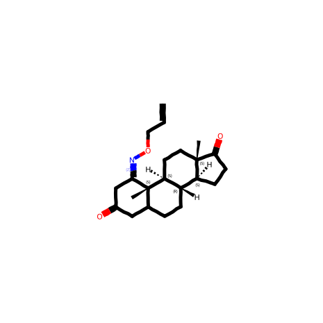 C=CCO/N=C1/CC(=O)CC2CC[C@@H]3[C@H](CC[C@]4(C)C(=O)CC[C@@H]34)[C@@]12C